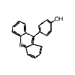 Oc1ccc(-c2c3ccccc3nc3ccccc23)cc1